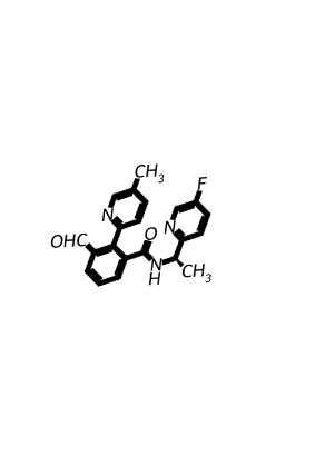 Cc1ccc(-c2c(C=O)cccc2C(=O)N[C@H](C)c2ccc(F)cn2)nc1